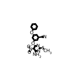 CSc1nc(N)c([N+](=O)[O-])c(Oc2cc(C#N)cc(Oc3ccccc3)c2)n1